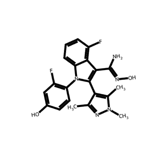 Cc1nn(C)c(C)c1-c1c(/C(N)=N/O)c2c(F)cccc2n1-c1ccc(O)cc1F